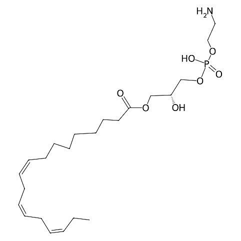 CC/C=C\C/C=C\C/C=C\CCCCCCCC(=O)OC[C@@H](O)COP(=O)(O)OCCN